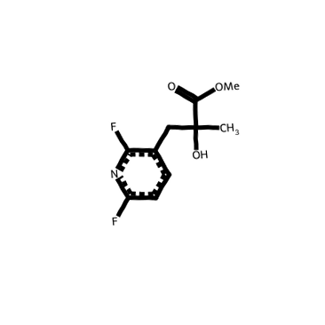 COC(=O)C(C)(O)Cc1ccc(F)nc1F